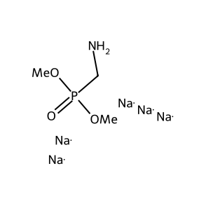 COP(=O)(CN)OC.[Na].[Na].[Na].[Na].[Na]